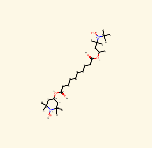 CC(CC(C)(C)N(O)C(C)(C)C)OC(=O)CCCCCCCCC(=O)OC1CC(C)(C)N(O)C(C)(C)C1